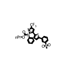 CCCOC(=O)N(c1ccccc1)n1nc(C(F)(F)F)cc1-c1ccc(-c2cccc(S(C)(=O)=O)c2)s1